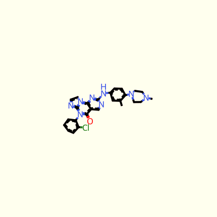 Cc1cc(Nc2ncc3c(=O)n(-c4ccccc4Cl)c4nccn4c3n2)ccc1N1CCN(C)CC1